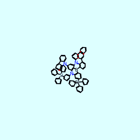 c1ccc(-c2cccc(N3c4cc(-n5c6ccccc6c6ccccc65)cc5c4B(c4ccc([Si](c6ccccc6)(c6ccccc6)c6ccccc6)cc4N5c4cccc([Si](c5ccccc5)(c5ccccc5)c5ccccc5)c4)c4cccc(-c5ccccc5)c43)c2)cc1